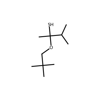 CC(C)C(C)(S)OCC(C)(C)C